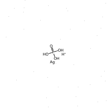 O=P(O)(O)O.[Ag].[H+]